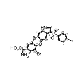 Cc1ccc(S(=O)(=O)c2c[nH]c3ccc(Oc4c(Br)cc([C@@H](N)C(=O)O)cc4Br)cc23)cc1